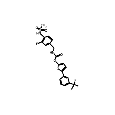 CS(=O)(=O)Nc1ccc(CNC(=O)Oc2ccc(-c3cccc(C(F)(F)F)c3)o2)cc1F